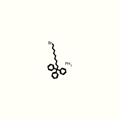 BrCCCCCCCCCC(c1ccccc1)(c1ccccc1)c1ccccc1.P